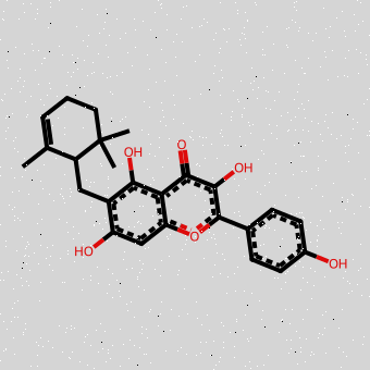 CC1=CCCC(C)(C)C1Cc1c(O)cc2oc(-c3ccc(O)cc3)c(O)c(=O)c2c1O